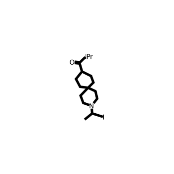 CC(C)C(=O)C1CCC2(CC1)CCN(C(C)I)CC2